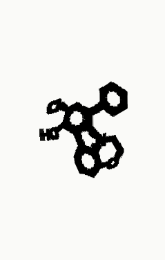 Oc1c(Cl)cc(-c2ccccc2)c2c1c1cccc3c1n2CCO3